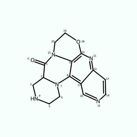 O=C1C2CNCCN2c2c3c(nc4ccncc24)OCCN13